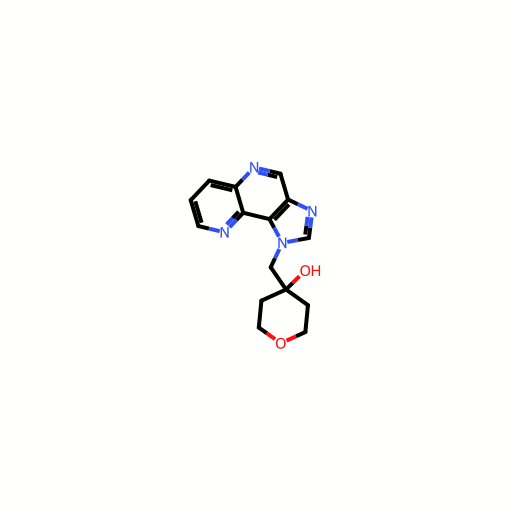 OC1(Cn2cnc3cnc4cccnc4c32)CCOCC1